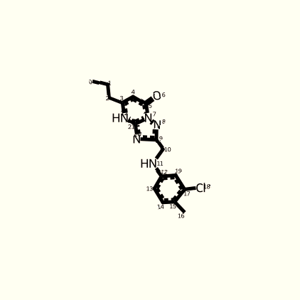 CCCc1cc(=O)n2nc(CNc3ccc(C)c(Cl)c3)nc2[nH]1